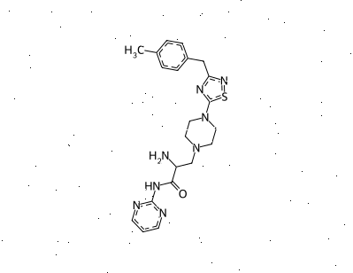 Cc1ccc(Cc2nsc(N3CCN(CC(N)C(=O)Nc4ncccn4)CC3)n2)cc1